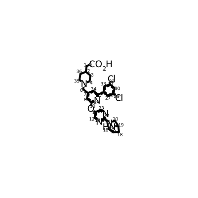 O=C(O)CC1CCN(Cc2cc(Oc3cnc(N4CC5CC(C4)N5)nc3)nc(-c3cc(Cl)cc(Cl)c3)c2)CC1